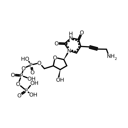 NCC#Cc1cn([C@H]2C[C@@H](O)C(COP(=O)(O)OP(=O)(O)OP(=O)(O)O)O2)c(=O)[nH]c1=O